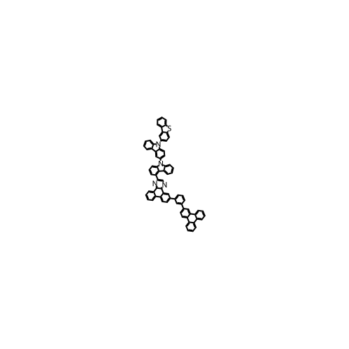 c1cc(-c2ccc3c4ccccc4c4ccccc4c3c2)cc(-c2ccc3c4ccccc4c4nc(-c5cccc6c5c5ccccc5n6-c5ccc6c(c5)c5ccccc5n6-c5ccc6sc7ccccc7c6c5)cnc4c3c2)c1